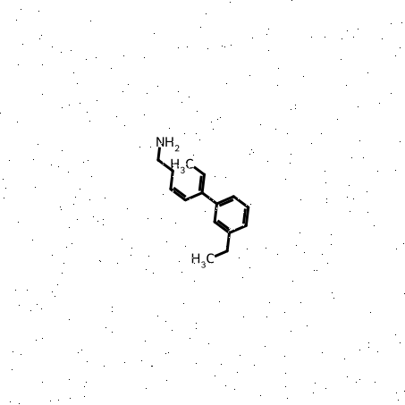 C/C=C(\C=C/CCN)c1cccc(CC)c1